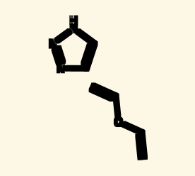 C=COC=C.c1c[nH]nn1